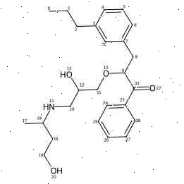 CCCc1cccc(CC(OCC(O)CNC(C)CCO)C(=O)c2ccccc2)c1